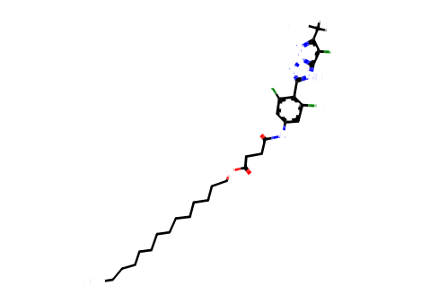 CCCCCCCCCCCCCCOC(=O)CCC(=O)Nc1cc(Cl)c(-c2nn3nc(C(C)(C)C)c(Cl)c3[nH]2)c(Cl)c1